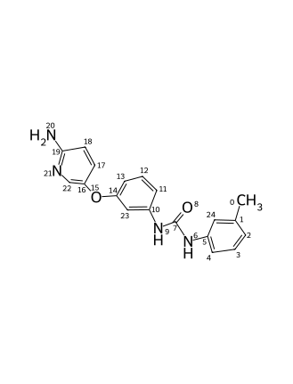 Cc1cccc(NC(=O)Nc2cccc(Oc3ccc(N)nc3)c2)c1